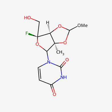 COC1O[C@@H]2[C@@](F)(CO)OC(n3ccc(=O)[nH]c3=O)[C@]2(C)O1